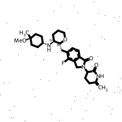 C=C1CCC(N2Cc3c(ccc(C[C@H]4OCCC[C@@H]4N[C@H]4CC[C@](C)(OC)CC4)c3F)C2=O)C(=O)N1